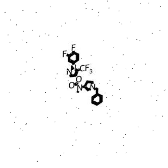 CN(C(=O)Oc1cnn(-c2ccc(F)c(F)c2)c1C(F)(F)F)C1CCN(Cc2ccccc2)C1